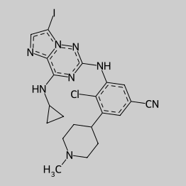 CN1CCC(c2cc(C#N)cc(Nc3nc(NC4CC4)c4ncc(I)n4n3)c2Cl)CC1